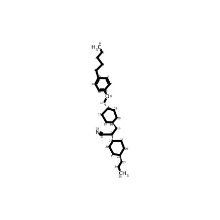 CCCCCc1ccc(OC[C@H]2CC[C@H](CC(C#N)[C@H]3CC[C@H](CCC)CC3)CC2)cc1